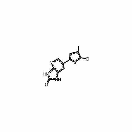 Cc1cc(-c2cnc3[nH]c(=O)[nH]c3c2)sc1Cl